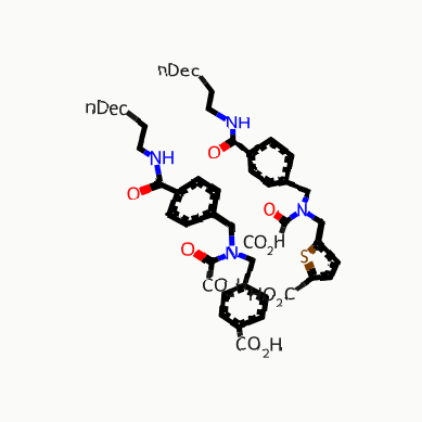 CCCCCCCCCCCCNC(=O)c1ccc(CN(Cc2ccc(C(=O)O)cc2)C(=O)C(=O)O)cc1.CCCCCCCCCCCCNC(=O)c1ccc(CN(Cc2ccc(C(=O)O)s2)C(=O)C(=O)O)cc1